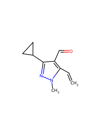 C=Cc1c(C=O)c(C2CC2)nn1C